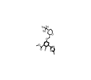 [2H]C([2H])([2H])N1CCO[C@@H](COc2cc(C(=O)OC)c(F)c(-c3ncc(C)s3)c2)C1